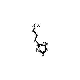 N#CCCCc1ncco1